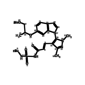 CCCCNS(=O)(=O)NC(=O)C=Cc1c(C)nn(C)c1-n1ccc2ccc(OC(C)COC)cc21